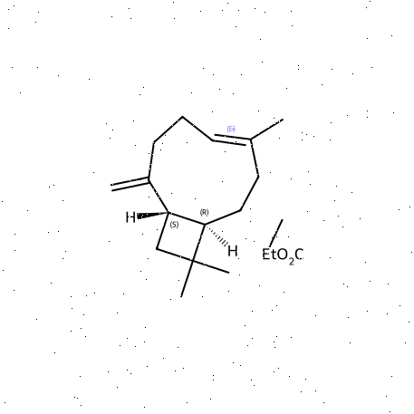 C=C1CC/C=C(\C)CC[C@@H]2[C@@H]1CC2(C)C.CCOC(C)=O